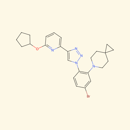 Brc1ccc(-n2cc(-c3cccc(OC4CCCC4)n3)nn2)c(N2CCC3(CC2)CC3)c1